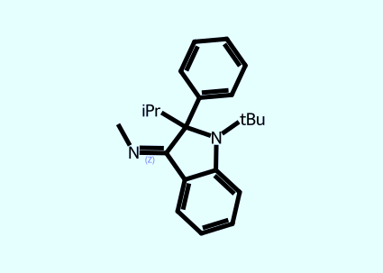 C/N=C1/c2ccccc2N(C(C)(C)C)C1(c1ccccc1)C(C)C